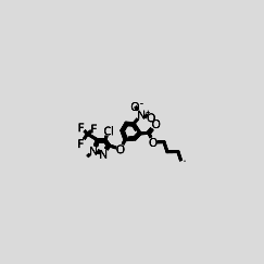 [CH2]CCCOC(=O)c1cc(Oc2nn(C)c(C(F)(F)F)c2Cl)ccc1[N+](=O)[O-]